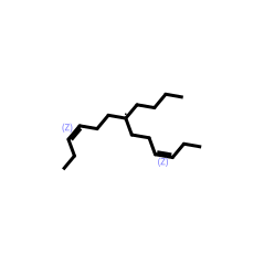 CC/C=C\CC[C](CC/C=C\CC)CCCC